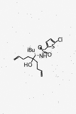 C=CCCC(O)(CCC=C)[C@@H](NS(=O)(=O)c1ccc(Cl)s1)[C@@H](C)CC